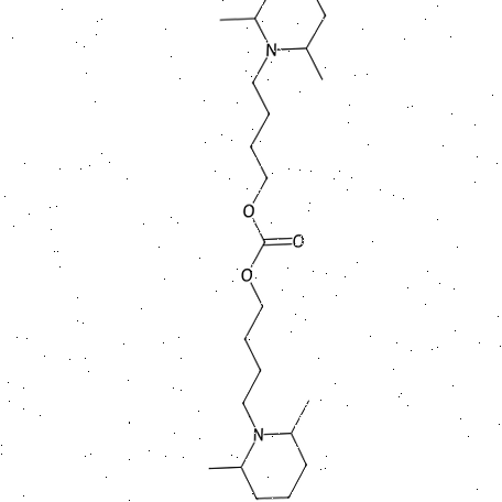 CC1CCCC(C)N1CCCCOC(=O)OCCCCN1C(C)CCCC1C